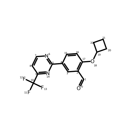 O=Cc1cc(-c2nccc(C(F)(F)F)n2)ccc1OC1CCC1